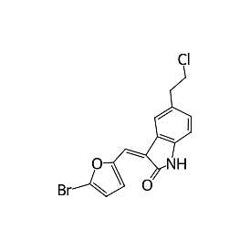 O=C1Nc2ccc(CCCl)cc2C1=Cc1ccc(Br)o1